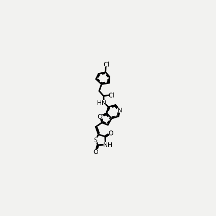 O=C1NC(=O)/C(=C\c2cc3cncc(NC(Cl)Cc4ccc(Cl)cc4)c3o2)S1